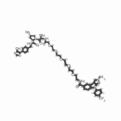 Cc1ncsc1-c1ccc(CNC(=O)[C@H]2C[C@H](O)CN2C(=O)C(NC(=O)COCCOCCOCCOCCOCCNC(=O)c2ccc3c(c2)c2cn(C)nc2n3-c2ccc(C(F)(F)F)cc2)C(C)(C)C)cc1